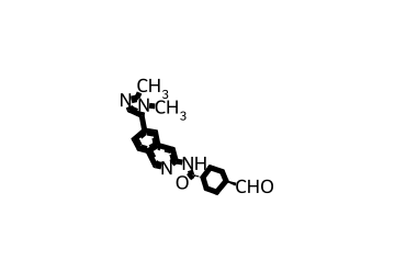 Cc1ncc(-c2ccc3cnc(NC(=O)[C@H]4CC[C@H](C=O)CC4)cc3c2)n1C